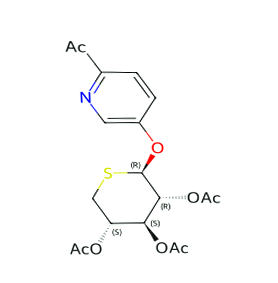 CC(=O)O[C@@H]1[C@@H](OC(C)=O)[C@H](OC(C)=O)CS[C@H]1Oc1ccc(C(C)=O)nc1